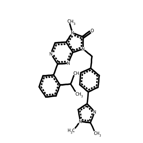 Cc1nc(-c2ccc(Cn3c(=O)n(C)c4cnc(-c5ccccc5C(C)C)nc43)cc2)cn1C